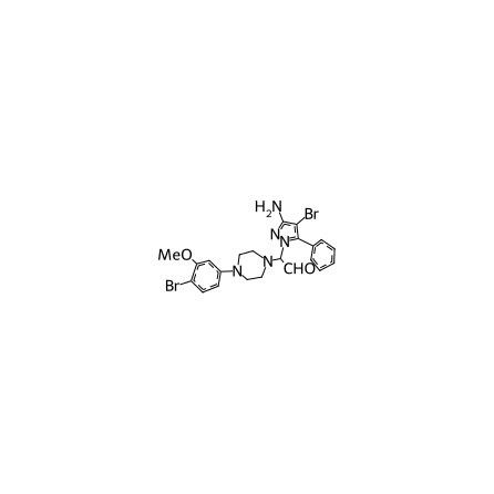 COc1cc(N2CCN(C(C=O)n3nc(N)c(Br)c3-c3ccccc3)CC2)ccc1Br